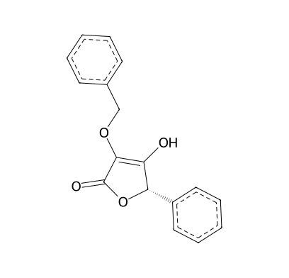 O=C1O[C@@H](c2ccccc2)C(O)=C1OCc1ccccc1